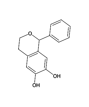 Oc1cc2c(cc1O)C(c1ccccc1)OCC2